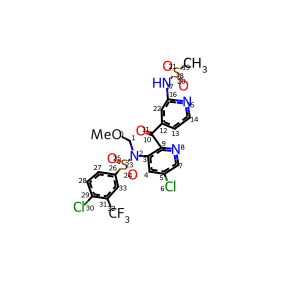 COCN(c1cc(Cl)cnc1C(=O)c1ccnc(NS(C)(=O)=O)c1)S(=O)(=O)c1ccc(Cl)c(C(F)(F)F)c1